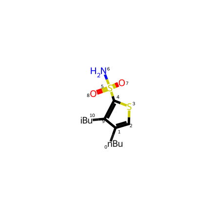 CCCCc1csc(S(N)(=O)=O)c1C(C)CC